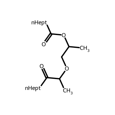 CCCCCCCC(=O)OC(C)COC(C)C(=O)CCCCCCC